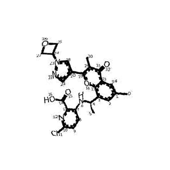 Cc1cc([C@@H](C)Nc2ccc(Cl)nc2C(=O)O)c2oc(-c3cnn(C4COC4)c3)c(C)c(=O)c2c1